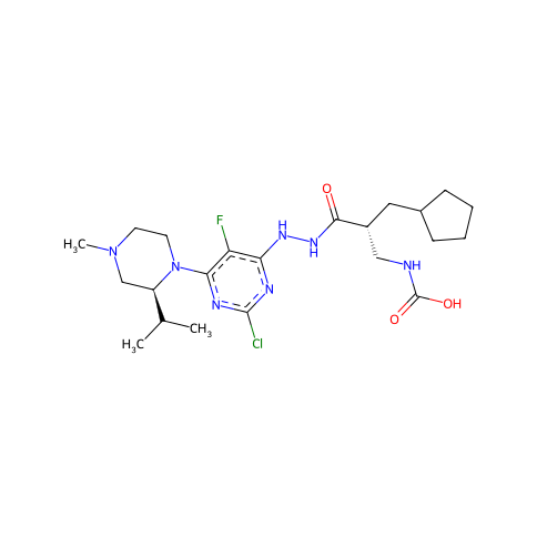 CC(C)[C@H]1CN(C)CCN1c1nc(Cl)nc(NNC(=O)[C@@H](CNC(=O)O)CC2CCCC2)c1F